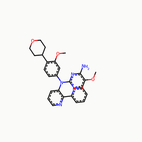 COc1cc(N(c2ncc(OC)c(N)n2)c2cccnc2-c2ccccn2)ccc1C1CCOCC1